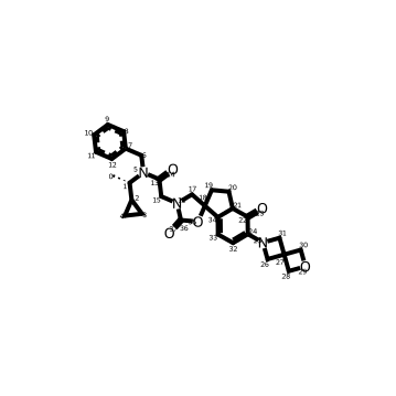 C[C@@H](C1CC1)N(Cc1ccccc1)C(=O)CN1CC2(CCC3C(=O)C(N4CC5(COC5)C4)=CC=C32)OC1=O